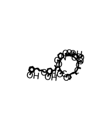 CCC1/C=C(\C)CC(C)CC(OC)C2OC(O)(C(=O)C(=O)N3CCCCC3C(=O)OC(C(C)=CC3CCC(OCC=Cc4cccc(O)c4)C(O)C3)C(C)C(O)CC1=O)C(C)CC2OC